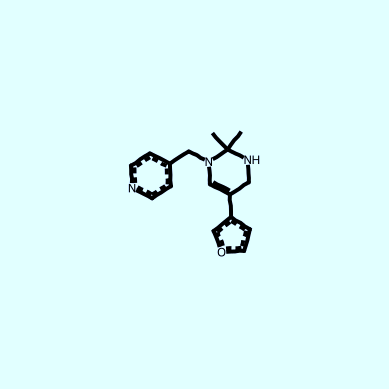 CC1(C)NCC(c2ccoc2)=CN1Cc1ccncc1